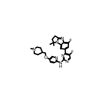 CN1CCC(COc2ccc(Nc3ncc(F)c(-c4cc(F)c5nc6n(c5c4)C(C)(C)CC6)n3)nc2)CC1